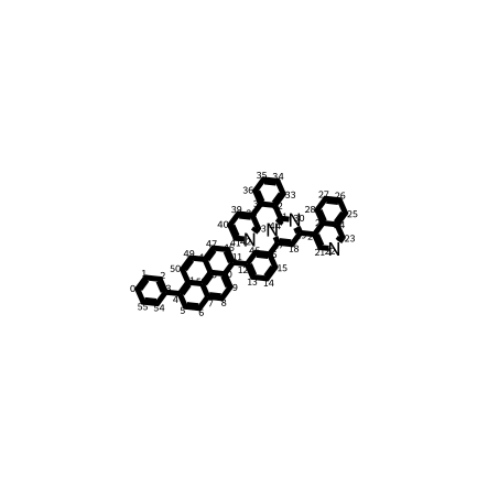 c1ccc(-c2ccc3ccc4c(-c5cccc(-c6cc(-c7cncc8ccccc78)nc(-c7ccccc7-c7cccnc7)n6)c5)ccc5ccc2c3c54)cc1